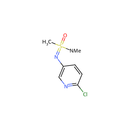 CNS(C)(=O)=Nc1ccc(Cl)nc1